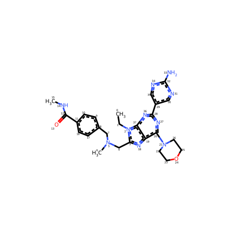 CCn1c(CN(C)Cc2ccc(C(=O)NC)cc2)nc2c(N3CCOCC3)nc(-c3cnc(N)nc3)nc21